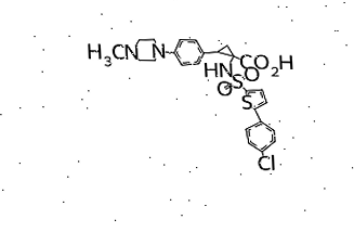 CN1CCN(c2ccc(C3CC3(NS(=O)(=O)c3ccc(-c4ccc(Cl)cc4)s3)C(=O)O)cc2)CC1